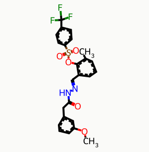 COc1cccc(CC(=O)N/N=C/c2cccc(C)c2OS(=O)(=O)c2ccc(C(F)(F)F)cc2)c1